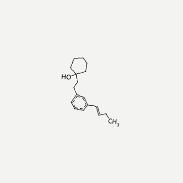 CC/C=C/c1cccc(CCC2(O)CCCCC2)c1